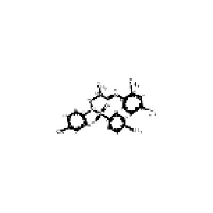 Cc1ccc(S(=O)(=O)N(SN(C)C=Nc2ccc(C)cc2C)c2ccc(Cl)cc2)cc1